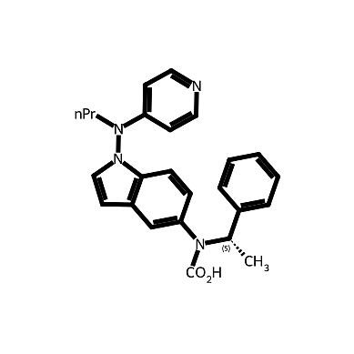 CCCN(c1ccncc1)n1ccc2cc(N(C(=O)O)[C@@H](C)c3ccccc3)ccc21